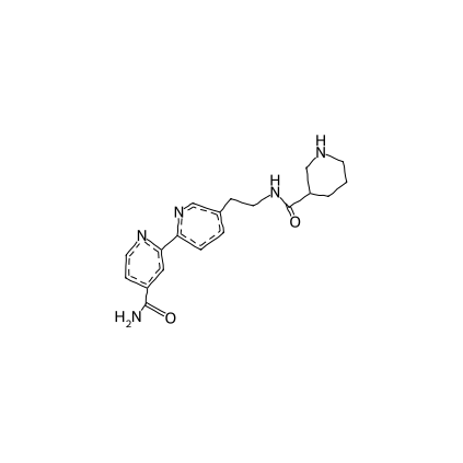 NC(=O)c1ccnc(-c2ccc(CCNC(=O)C3CCCNC3)cn2)c1